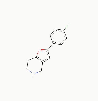 Clc1ccc(-c2cc3c(o2)CCNC3)cc1